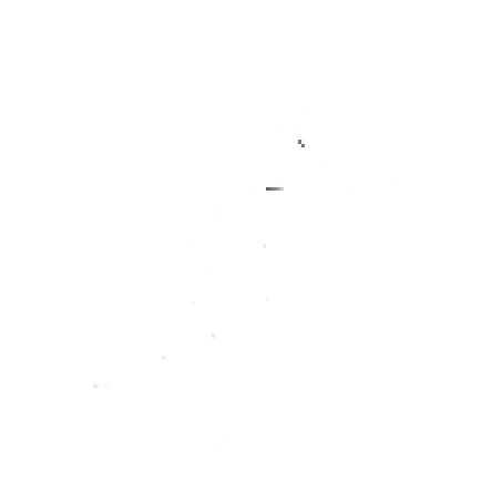 COc1cc(OC)c(Cl)c(-c2ccc3nc(N[C@@H]4CO[C@@H](C)C[C@@H]4NC(=O)OC(C)(C)C)ncc3c2)c1Cl